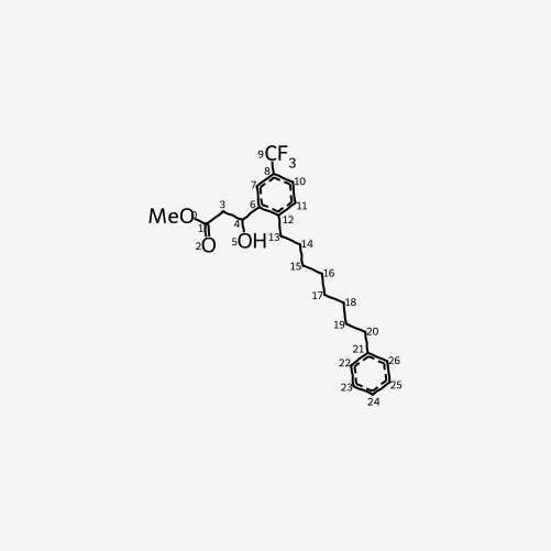 COC(=O)CC(O)c1cc(C(F)(F)F)ccc1CCCCCCCCc1ccccc1